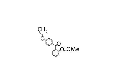 C=CCOc1ccc(C(=O)c2ccccc2OCOC)cc1